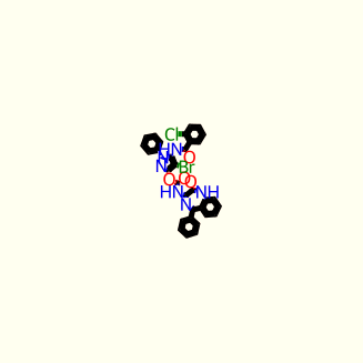 O=C(NC1N=C(c2ccccc2)c2ccccc2NC1=O)Oc1nn(-c2ccccc2)c(NC(=O)c2ccccc2Cl)c1Br